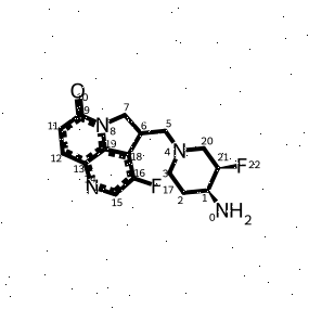 N[C@H]1CCN(CC2Cn3c(=O)ccc4ncc(F)c2c43)C[C@H]1F